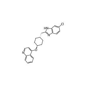 Clc1ccc2nc(C[C@H]3CC[C@H](Oc4ccnc5ccccc45)CC3)[nH]c2c1